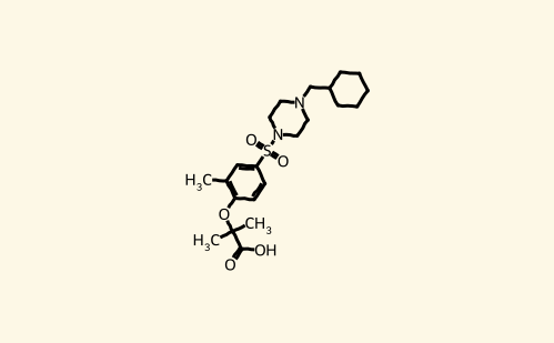 Cc1cc(S(=O)(=O)N2CCN(CC3CCCCC3)CC2)ccc1OC(C)(C)C(=O)O